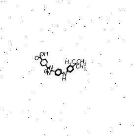 CC(C)(C)c1ccc(Nc2ccc(-c3noc(C4CCC(C(=O)O)CC4)n3)cc2)cc1